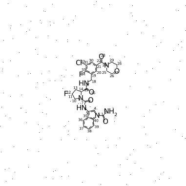 NC(=O)n1cc(NC(=O)N2C[C@H](F)C[C@H]2C(=O)NCc2cc(C(=O)N3CCOCC3)cc(Cl)c2F)c2ccccc21